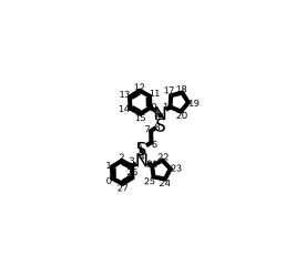 c1ccc(N(SCCSN(c2ccccc2)C2CCCC2)C2CCCC2)cc1